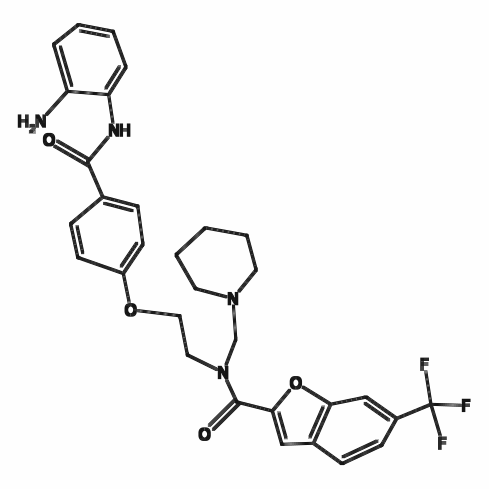 Nc1ccccc1NC(=O)c1ccc(OCCN(CN2CCCCC2)C(=O)c2cc3ccc(C(F)(F)F)cc3o2)cc1